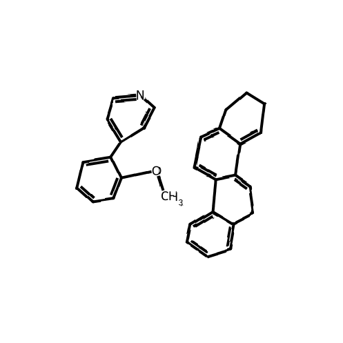 C1=c2c(ccc3c2=CCc2ccccc2-3)CCC1.COc1ccccc1-c1ccncc1